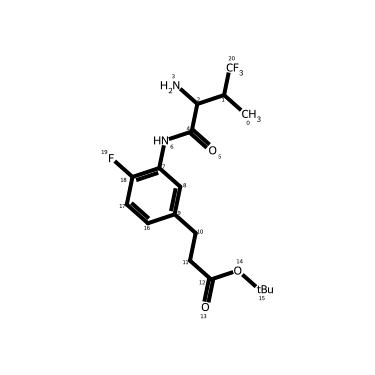 CC(C(N)C(=O)Nc1cc(CCC(=O)OC(C)(C)C)ccc1F)C(F)(F)F